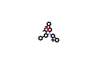 Cc1cccc(C)c1-c1cc(-c2ccccc2)ccc1N(c1ccc2c(c1)C(C)(C)c1ccccc1-2)c1ccc2c(c1)C(C)(C)c1ccccc1-2